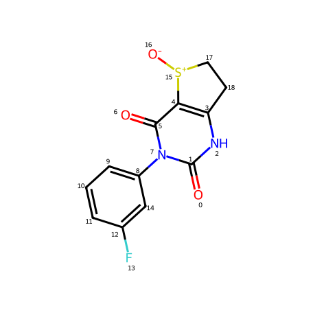 O=c1[nH]c2c(c(=O)n1-c1cccc(F)c1)[S+]([O-])CC2